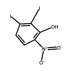 O=[N+]([O-])c1ccc(I)c(I)c1O